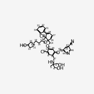 CC(CO)(CO)NCc1cc(Cl)c(OCC2(OCCCN3CCC(O)C3)C=CC=C(c3ccccc3)[C@@]2(C)Cl)cc1OCc1cncc(C#N)c1